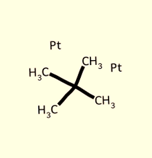 CC(C)(C)C.[Pt].[Pt]